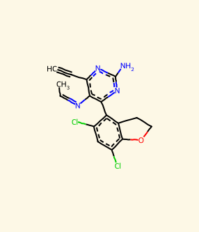 C#Cc1nc(N)nc(-c2c(Cl)cc(Cl)c3c2CCO3)c1/N=C\C